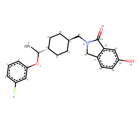 CCCC(Oc1cccc(F)c1)[C@H]1CC[C@H](CN2Cc3ccc(O)cc3C2=O)CC1